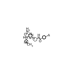 Cn1cc(Nc2nc(N3CCCC(NC(=O)c4ccc(C5CC5)cc4)C3)nnc2C(N)=O)cn1